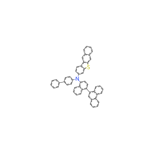 c1ccc(-c2ccc(N(c3ccc4c(c3)sc3cc5ccccc5cc34)c3ccc(-c4cc5ccccc5c5ccccc45)c4ccccc34)cc2)cc1